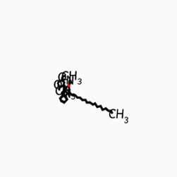 CCCCCCCCCCCCCCCCCCn1c(N(CC#N)C2CC(OC)COC2C)cc2ccccc21